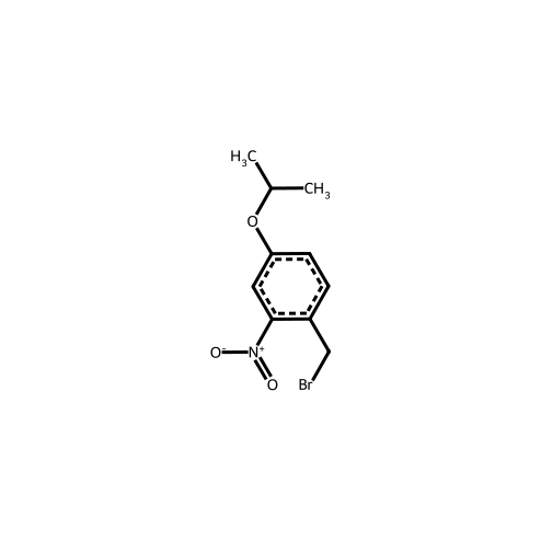 CC(C)Oc1ccc(CBr)c([N+](=O)[O-])c1